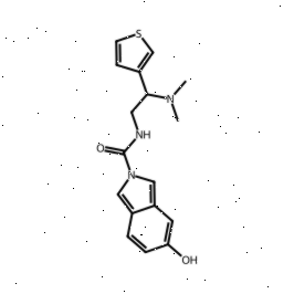 CN(C)C(CNC(=O)n1cc2ccc(O)cc2c1)c1ccsc1